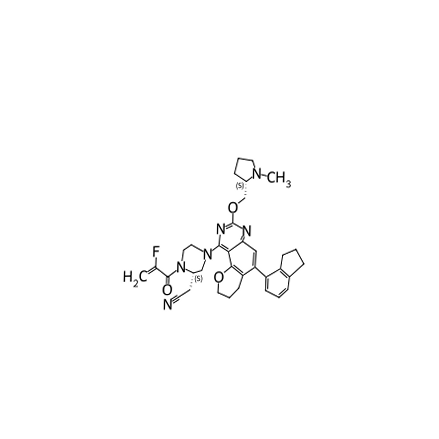 C=C(F)C(=O)N1CCN(c2nc(OC[C@@H]3CCCN3C)nc3cc(-c4cccc5c4CCC5)c4c(c23)OCCC4)C[C@@H]1CC#N